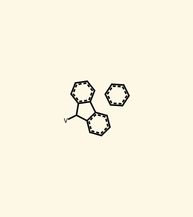 [V][CH]1c2ccccc2-c2ccccc21.c1ccccc1